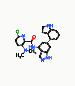 CN(C)c1ccc(Cl)nc1C(=O)Nc1cc(-c2cccc3[nH]ccc23)cc2[nH]ncc12